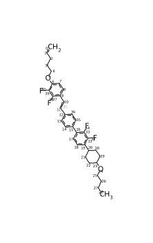 C=CCCCOc1ccc(/C=C/c2ccc(-c3ccc(C4CCC(OCCCC)CC4)c(F)c3F)cc2)c(F)c1F